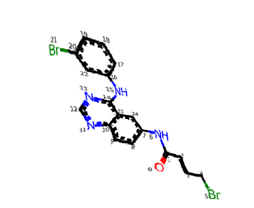 O=C(C=CCBr)Nc1ccc2ncnc(Nc3cccc(Br)c3)c2c1